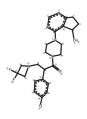 CC1CCc2ncnc(N3CCN(C(=O)C(CN4CC(F)(F)C4)c4ccc(Cl)cc4)CC3)c21